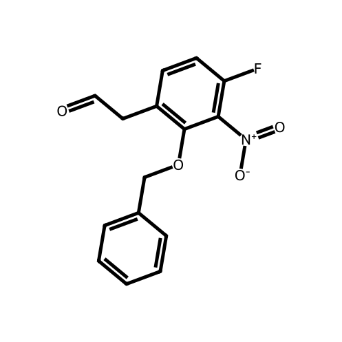 O=CCc1ccc(F)c([N+](=O)[O-])c1OCc1ccccc1